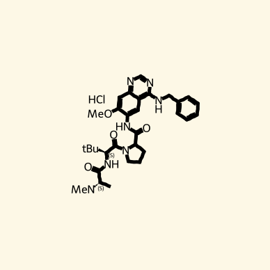 CN[C@@H](C)C(=O)N[C@H](C(=O)N1CCCC1C(=O)Nc1cc2c(NCc3ccccc3)ncnc2cc1OC)C(C)(C)C.Cl